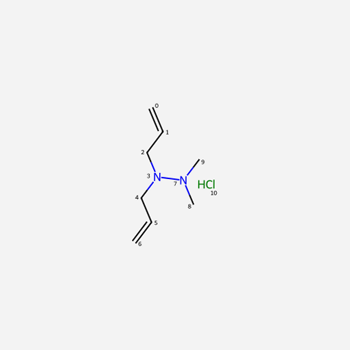 C=CCN(CC=C)N(C)C.Cl